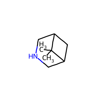 CC1(C)C2CNCC1C2